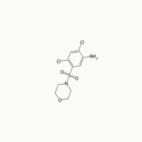 Nc1cc(S(=O)(=O)N2CCOCC2)c(Cl)cc1Cl